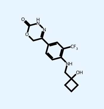 O=C1NN=C(c2ccc(NCC3(O)CCC3)c(C(F)(F)F)c2)CO1